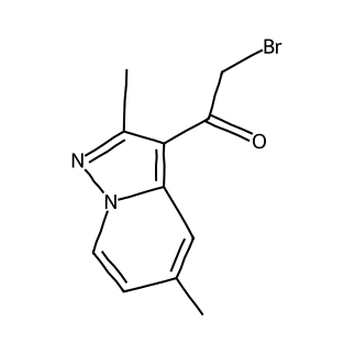 Cc1ccn2nc(C)c(C(=O)CBr)c2c1